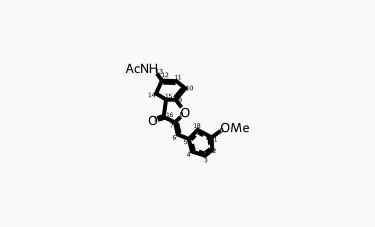 COc1cccc(/C=C2\OC3=CC=C(NC(C)=O)CC3C2=O)c1